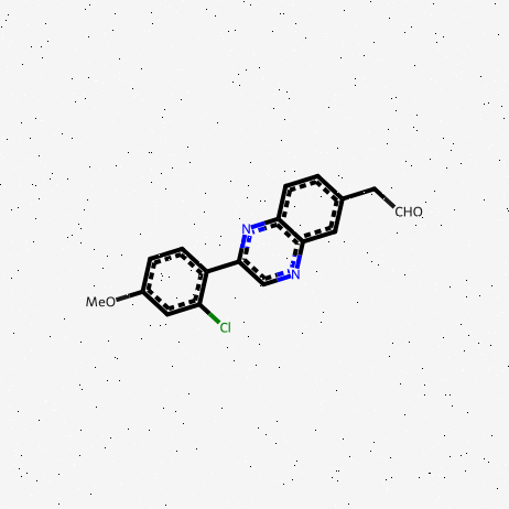 COc1ccc(-c2cnc3cc(CC=O)ccc3n2)c(Cl)c1